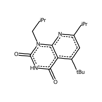 CC(C)Cn1c(=O)[nH]c(=O)c2c(C(C)(C)C)cc(C(C)C)nc21